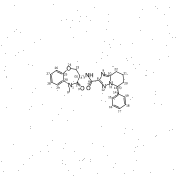 CN1C(=O)[C@@H](NC(=O)c2nc3n(n2)[C@H](c2ccccc2)CCC3)COc2ccccc21